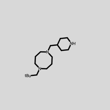 CC(C)(C)CN1CCCN(CC2CCNCC2)CCC1